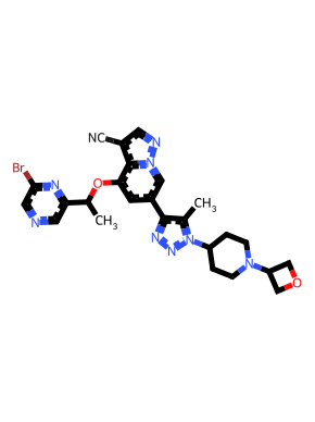 Cc1c(-c2cc(OC(C)c3cncc(Br)n3)c3c(C#N)cnn3c2)nnn1C1CCN(C2COC2)CC1